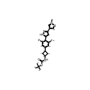 Cn1cc(-c2cc(-c3c(F)cc(C4CC(NC(=O)OC(C)(C)C)C4)cc3F)[nH]n2)cn1